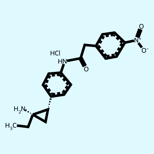 CC[C@]1(N)C[C@H]1c1ccc(NC(=O)Cc2ccc([N+](=O)[O-])cc2)cc1.Cl